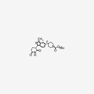 Cn1nc(C2CCC(=O)NC2=O)c2ccc(C3(F)CCN(C(=O)OC(C)(C)C)CC3)cc21